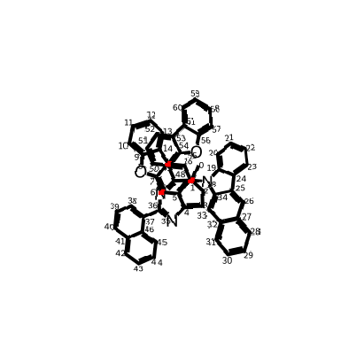 CC1C/C=C(c2cc3oc4ccccc4c3cc2-n2c3ccccc3c3cc4ccccc4cc32)/N=C(c2cccc3ccccc23)\N=C/1c1cccc2c1oc1ccccc12